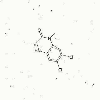 C[C@H]1Nc2cc(Cl)c(Cl)cc2N(C)C1=O